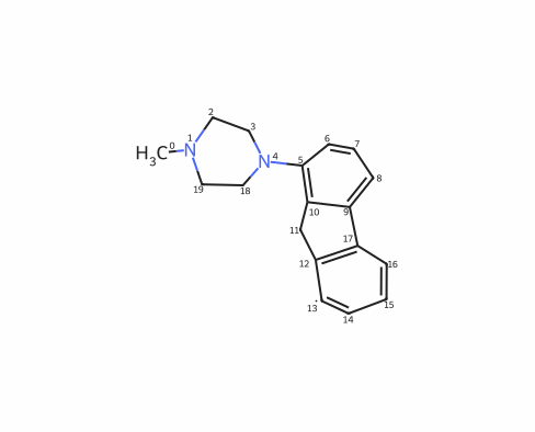 CN1CCN(c2cccc3c2Cc2[c]cccc2-3)CC1